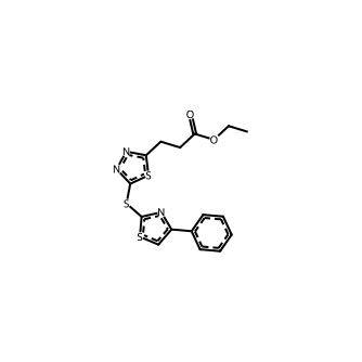 CCOC(=O)CCc1nnc(Sc2nc(-c3ccccc3)cs2)s1